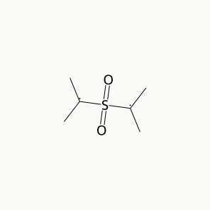 C[C](C)S(=O)(=O)[C](C)C